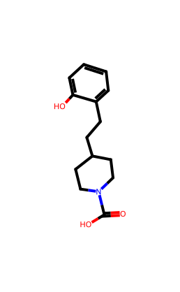 O=C(O)N1CCC(CCc2ccccc2O)CC1